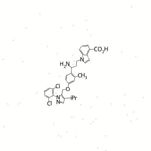 Cc1cc(OCc2c(C(C)C)cnn2-c2c(Cl)cccc2Cl)ccc1C(N)CCn1ccc2c(C(=O)O)cccc21